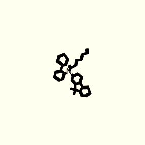 C=C/C=C/C=C/C(=C)N(c1ccc2c(c1)C(C)(C)c1ccccc1-2)c1ccccc1-c1ccccc1